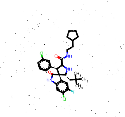 CC(C)(C)C[C@H]1NC(C(=O)NCCC2CCCC2)[C@H](c2cccc(Cl)c2)[C@@]12C(=O)Nc1cc(Cl)c(F)cc12